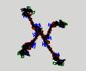 CN1Cc2c(Cl)cc(Cl)cc2[C@H](c2cccc([S+]([O-])NCCOCCOCCNC(=O)CN(CCOCCOCCN(CC(=O)NCCOCCOCCNS(=O)(=O)c3cccc([C@@H]4CN(C)Cc5c(Cl)cc(Cl)cc54)c3)CC(=O)NCCOCCOCCNS(=O)(=O)c3cccc([C@@H]4CN(C)Cc5c(Cl)cc(Cl)cc54)c3)CC(=O)NCCOCCOCCNS(=O)(=O)c3cccc([C@@H]4CN(C)Cc5c(Cl)cc(Cl)cc54)c3)c2)C1